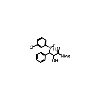 CNC(=O)C(O)C(c1ccccc1)N(C)c1cccc(Cl)c1